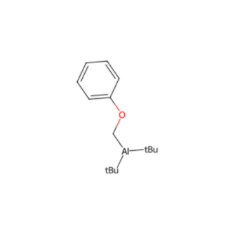 C[C](C)(C)[Al]([CH2]Oc1ccccc1)[C](C)(C)C